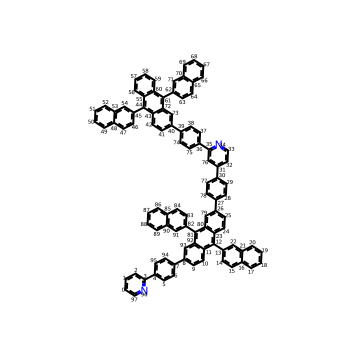 c1ccc(-c2ccc(-c3ccc4c(-c5ccc6ccccc6c5)c5ccc(-c6ccc(-c7ccnc(-c8ccc(-c9ccc%10c(-c%11ccc%12ccccc%12c%11)c%11ccccc%11c(-c%11ccc%12ccccc%12c%11)c%10c9)cc8)c7)cc6)cc5c(-c5ccc6ccccc6c5)c4c3)cc2)nc1